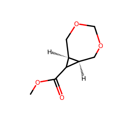 COC(=O)C1[C@H]2COCOC[C@@H]12